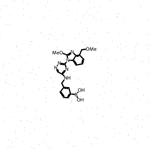 COCc1cccc2c1nc(OC)n2-c1nncc(NCc2cccc(B(O)O)c2)n1